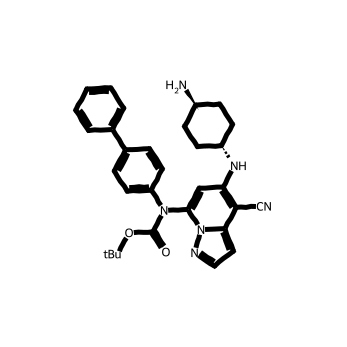 CC(C)(C)OC(=O)N(c1ccc(-c2ccccc2)cc1)c1cc(N[C@H]2CC[C@H](N)CC2)c(C#N)c2ccnn12